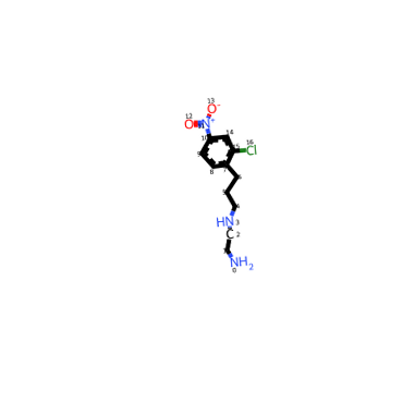 NCCNCCCc1ccc([N+](=O)[O-])cc1Cl